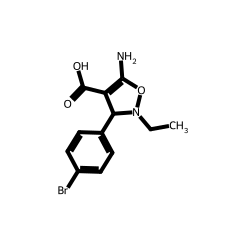 CCN1OC(N)=C(C(=O)O)C1c1ccc(Br)cc1